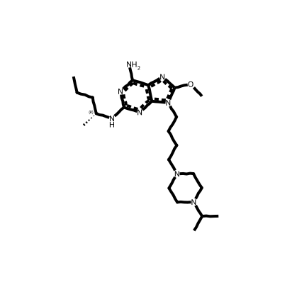 CCC[C@@H](C)Nc1nc(N)c2nc(OC)n(CCCCN3CCN(C(C)C)CC3)c2n1